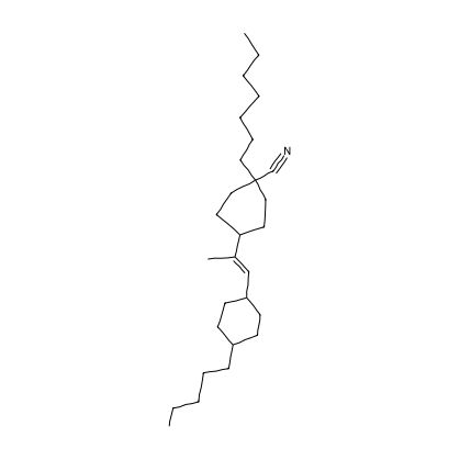 CCCCCCCC1(C#N)CCC(C(C)=CC2CCC(CCCCC)CC2)CC1